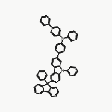 c1ccc(-c2ccc(N(c3ccccc3)c3ccc(-c4ccc5c6cc(C7(c8ccccc8)c8ccccc8-c8ccccc87)ccc6n(-c6ccccc6)c5c4)cc3)cc2)cc1